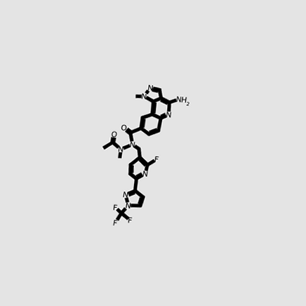 CC(=O)N(C)N(Cc1ccc(-c2ccn(C(F)(F)F)n2)nc1F)C(=O)c1ccc2nc(N)c3cnn(C)c3c2c1